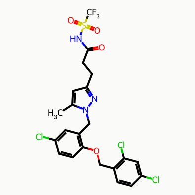 Cc1cc(CCC(=O)NS(=O)(=O)C(F)(F)F)nn1Cc1cc(Cl)ccc1OCc1ccc(Cl)cc1Cl